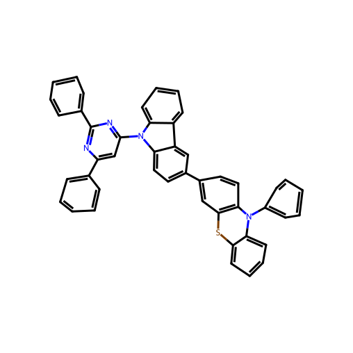 c1ccc(-c2cc(-n3c4ccccc4c4cc(-c5ccc6c(c5)Sc5ccccc5N6c5ccccc5)ccc43)nc(-c3ccccc3)n2)cc1